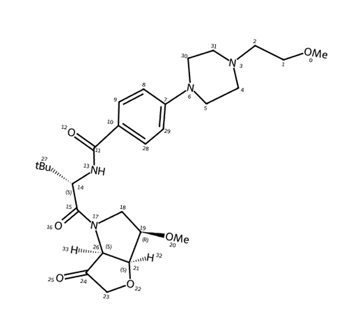 COCCN1CCN(c2ccc(C(=O)N[C@H](C(=O)N3C[C@@H](OC)[C@H]4OCC(=O)[C@H]43)C(C)(C)C)cc2)CC1